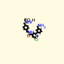 NCc1cccc(-c2cc(C(=O)NCC3CCC(CNC(=O)O)CC3)cc(Cl)n2)c1